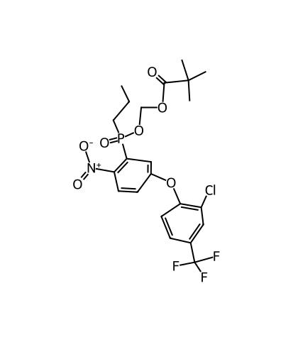 CCCP(=O)(OCOC(=O)C(C)(C)C)c1cc(Oc2ccc(C(F)(F)F)cc2Cl)ccc1[N+](=O)[O-]